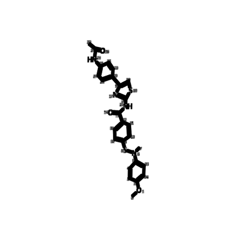 COc1ccc(N(C)Sc2ccc(C(=O)Nc3nc(-c4ccc(NC(C)=O)cc4)cs3)cc2)cc1